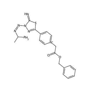 CC(P)/N=N\n1nc(-c2cc[n+](CC(=O)OCc3ccccc3)cc2)sc1=N